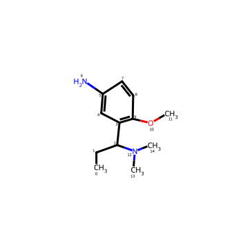 CCC(c1cc(N)ccc1OC)N(C)C